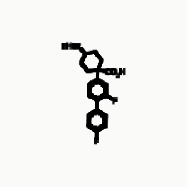 CCCCCCC1CCC(C(=O)O)(c2ccc(-c3ccc(F)cc3)c(F)c2)CC1